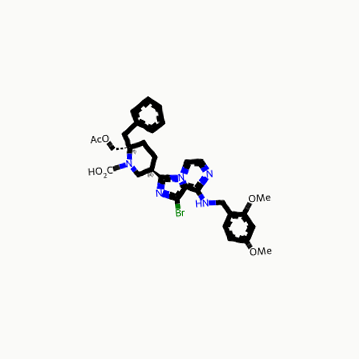 COc1ccc(CNc2nccn3c([C@@H]4CC[C@](COC(C)=O)(Cc5ccccc5)N(C(=O)O)C4)nc(Br)c23)c(OC)c1